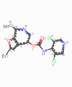 CCc1cc2c(OC(=O)Nc3c(Cl)cncc3Cl)cnc(OC)c2o1